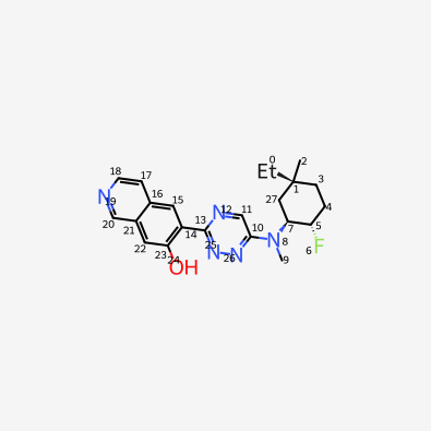 CC[C@@]1(C)CC[C@H](F)[C@@H](N(C)c2cnc(-c3cc4ccncc4cc3O)nn2)C1